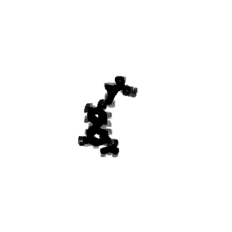 CC(C)Oc1cc(Cl)cc(-c2ccc(OCC3CC3C(=O)O)c(F)c2)c1